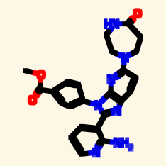 COC(=O)c1ccc(-n2c(-c3cccnc3N)nc3ccc(N4CCNC(=O)CC4)nc32)cc1